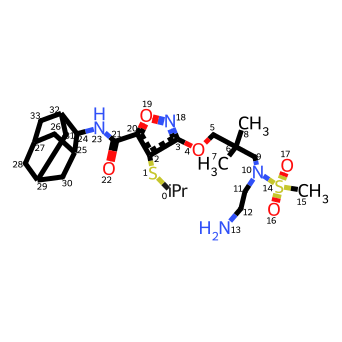 CC(C)Sc1c(OCC(C)(C)CN(CCN)S(C)(=O)=O)noc1C(=O)NC1C2CC3CC(C2)CC1C3